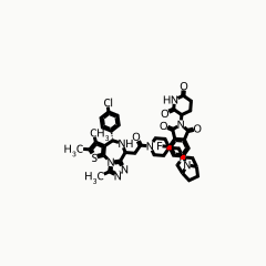 Cc1sc2c(c1C)[C@H](c1ccc(Cl)cc1)NC(CC(=O)N1CCC(CN3CC4CCC(C3)N4c3cc(F)c4c(c3)C(=O)N(C3CCC(=O)NC3=O)C4=O)CC1)c1nnc(C)n1-2